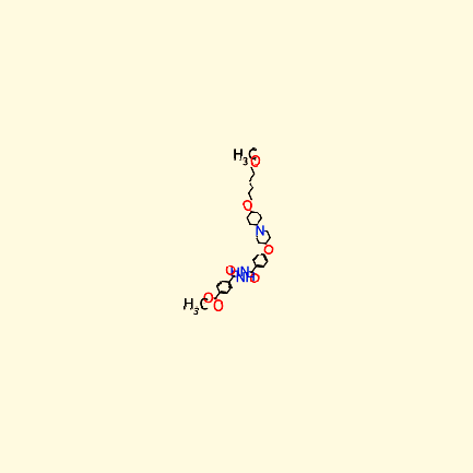 COCCCCCCOC1CCC(N2CCC(Oc3ccc(C(=O)NNC(=O)c4ccc(C(=O)OC)cc4)cc3)CC2)CC1